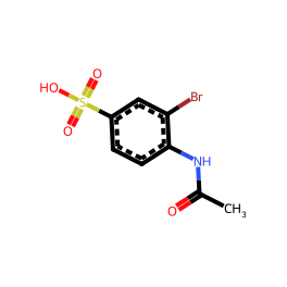 CC(=O)Nc1ccc(S(=O)(=O)O)cc1Br